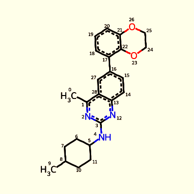 Cc1nc(NC2CCC(C)CC2)nc2ccc(-c3cccc4c3OCCO4)cc12